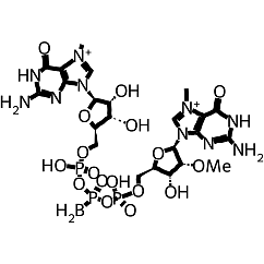 BP(=O)(OP(=O)(O)OC[C@H]1O[C@@H](n2c[n+](C)c3c(=O)[nH]c(N)nc32)[C@H](O)[C@@H]1O)OP(=O)(O)OC[C@H]1O[C@@H](n2c[n+](C)c3c(=O)[nH]c(N)nc32)[C@H](OC)[C@@H]1O